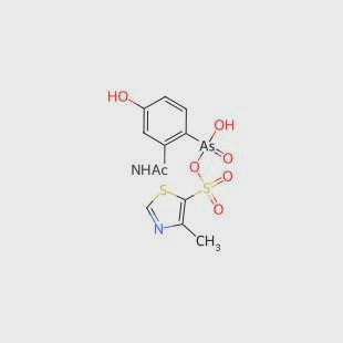 CC(=O)Nc1cc(O)ccc1[As](=O)(O)OS(=O)(=O)c1scnc1C